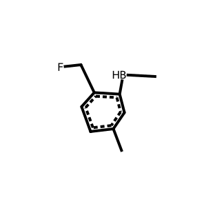 CBc1cc(C)ccc1CF